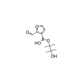 CC(C)(O)C(C)(C)OB(O)c1ccoc1C=O